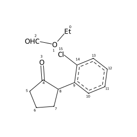 CCOC=O.O=C1CCCC1c1ccccc1Cl